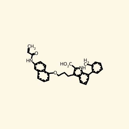 C=CC(=O)Nc1ccc2c(OCCCc3c(C(=O)O)[nH]c4c(-c5ccccc5C)cccc34)cccc2c1